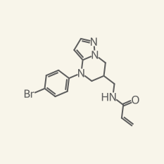 C=CC(=O)NCC1CN(c2ccc(Br)cc2)c2ccnn2C1